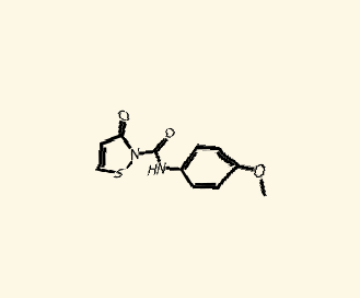 COc1ccc(NC(=O)n2sccc2=O)cc1